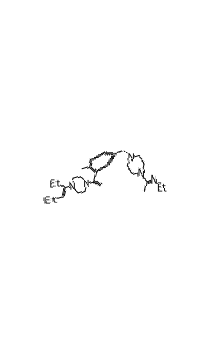 C=C(c1cc(CN2CCN(/C(C)=N/CC)CC2)ccc1C)N1CCN(/C(=C/CC)CC)CC1